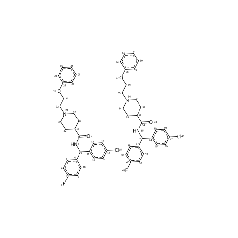 O=C(NC(c1ccc(F)cc1)c1ccc(Cl)cc1)C1CCN(CCOc2ccccc2)CC1.O=C(NC(c1ccc(F)cc1)c1ccc(Cl)cc1)C1CCN(CCOc2ccccc2)CC1